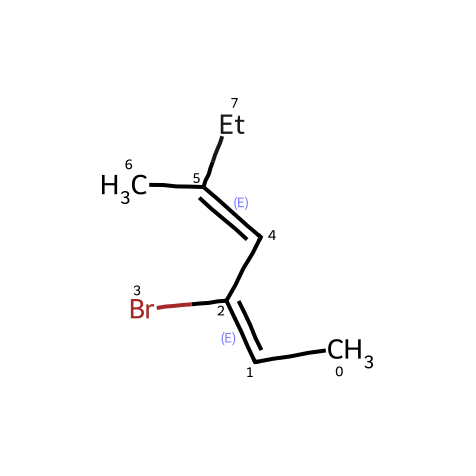 C/C=C(Br)\C=C(/C)CC